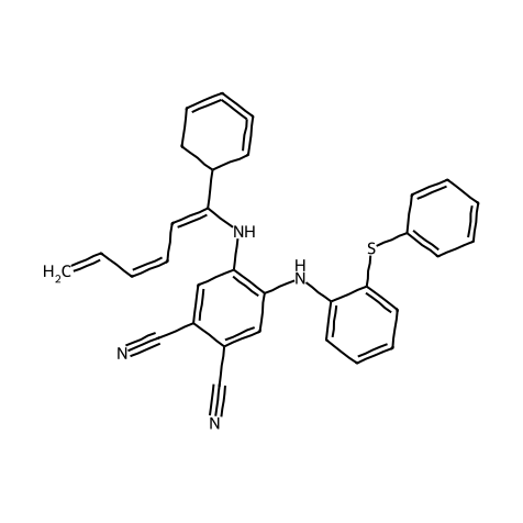 C=C/C=C\C=C(/Nc1cc(C#N)c(C#N)cc1Nc1ccccc1Sc1ccccc1)C1C=C=C=CC1